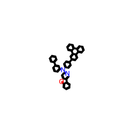 c1ccc(-c2cccc(N(c3ccc(-c4ccc5c6ccccc6c6ccccc6c5c4)cc3)c3cc4oc5ccccc5c4cn3)c2)cc1